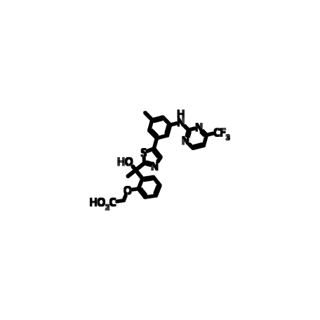 Cc1cc(Nc2nccc(C(F)(F)F)n2)cc(-c2cnc(C(C)(O)c3ccccc3OCC(=O)O)s2)c1